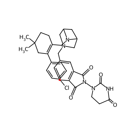 CC1(C)CCC(CN2C3CC2CN(Cc2ccc4c(c2)C(=O)N(N2CCC(=O)NC2=O)C4=O)C3)=C(c2ccc(Cl)cc2)C1